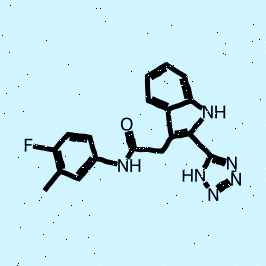 Cc1cc(NC(=O)Cc2c(-c3nnn[nH]3)[nH]c3ccccc23)ccc1F